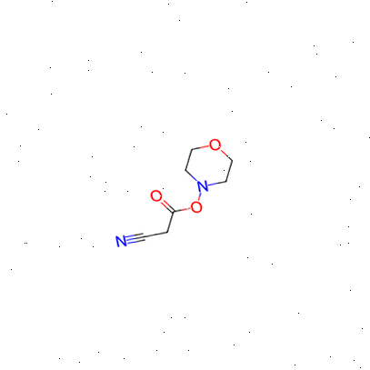 N#CCC(=O)ON1CCOCC1